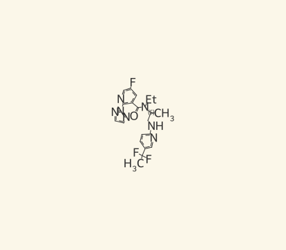 CCN(C(=O)c1cc(F)cnc1-n1nccn1)[C@@H](C)CNc1ccc(C(C)(F)F)cn1